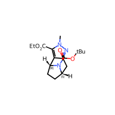 CCOC(=O)c1c2c(nn1C)C[C@@H]1CC[C@H]2N1C(=O)OC(C)(C)C